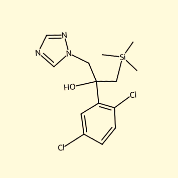 C[Si](C)(C)CC(O)(Cn1cncn1)c1cc(Cl)ccc1Cl